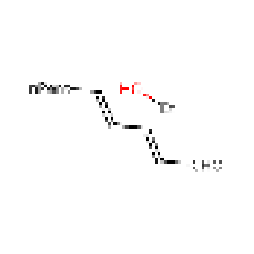 CCCCC/C=C/C=C/C=O.CCO